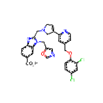 O=C(O)c1ccc2nc(CN3CC=C(c4cc(COc5ccc(Cl)cc5Cl)ccn4)C3)n(Cc3cnco3)c2c1